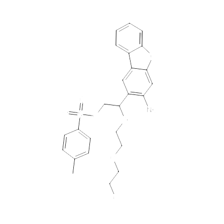 Cc1ccc(S(=O)(=O)OCC(OCCOCCCl)c2cc3c(cc2[N+](=O)[O-])oc2ccccc23)cc1